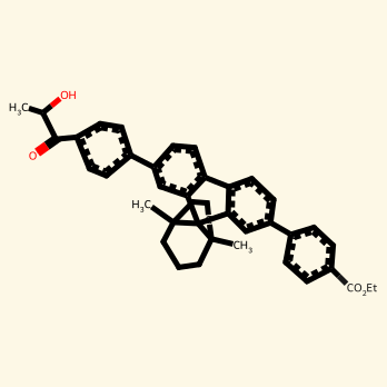 CCOC(=O)c1ccc(-c2ccc3c(c2)C2(c4cc(-c5ccc(C(=O)C(C)O)cc5)ccc4-3)C3(C)CCCC2(C)CCC3)cc1